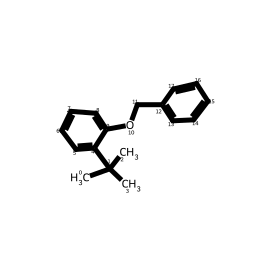 CC(C)(C)c1cc[c]cc1OCc1ccccc1